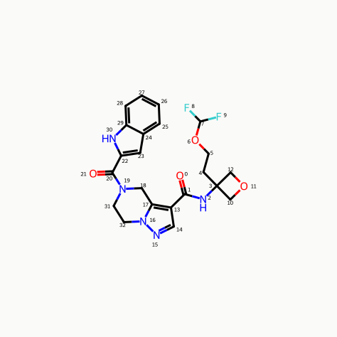 O=C(NC1(CCOC(F)F)COC1)c1cnn2c1CN(C(=O)c1cc3ccccc3[nH]1)CC2